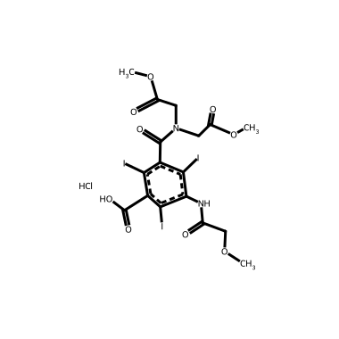 COCC(=O)Nc1c(I)c(C(=O)O)c(I)c(C(=O)N(CC(=O)OC)CC(=O)OC)c1I.Cl